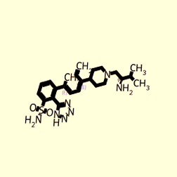 C=C/C(=C\C=C(/C)c1cccc(S(N)(=O)=O)c1-c1nnn[nH]1)C1CCN(C[C@H](N)C(C)C)CC1